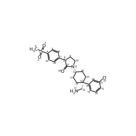 CS(=O)(=O)c1ccc(N2CCN([C@H]3CC[C@](CN)(c4cccc(Cl)c4)CC3)C2=O)cc1